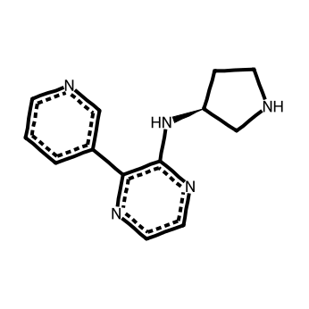 c1cncc(-c2nccnc2N[C@H]2CCNC2)c1